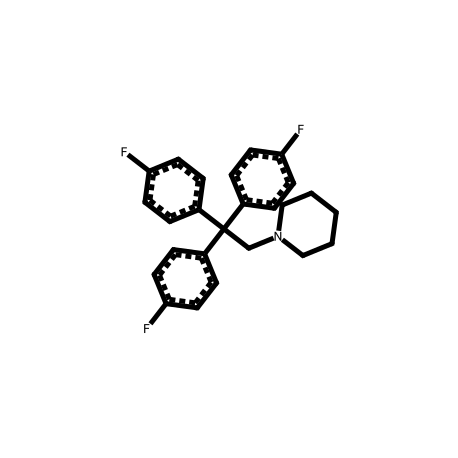 Fc1ccc(C(CN2CCCCC2)(c2ccc(F)cc2)c2ccc(F)cc2)cc1